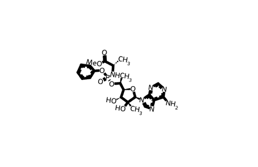 COC(=O)[C@H](C)NP(=O)(Oc1ccccc1)O[C@@H](C)[C@H]1O[C@@H](n2cnc3c(N)ncnc32)[C@](C)(O)[C@@H]1O